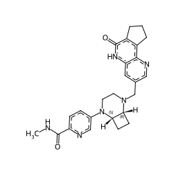 CNC(=O)c1ccc(N2CCN(Cc3cnc4c5c(c(=O)[nH]c4c3)CCC5)[C@@H]3CC[C@@H]32)cn1